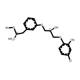 CC(C)O[C@@H](Cc1cccc(OC[C@@H](O)COc2ccc(Cl)cc2C#N)c1)C(=O)O